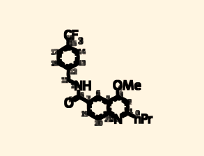 CCCc1cc(OC)c2cc(C(=O)NCc3ccc(C(F)(F)F)cc3)ccc2n1